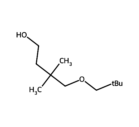 CC(C)(C)COCC(C)(C)CCO